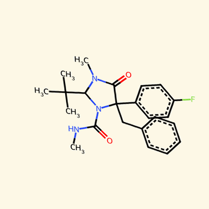 CNC(=O)N1C(C(C)(C)C)N(C)C(=O)C1(Cc1ccccc1)c1ccc(F)cc1